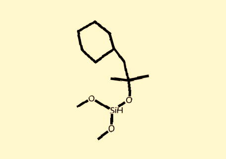 CO[SiH](OC)OC(C)(C)CC1CCCCC1